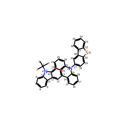 CC(C)(C)n1c2ccccc2c2cc(-c3ccccc3N(c3ccccc3)c3ccc4sc5ccccc5c4c3)ccc21